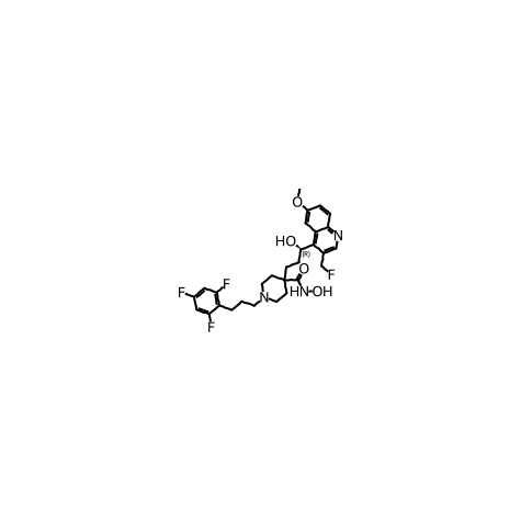 COc1ccc2ncc(CF)c([C@H](O)CCC3(C(=O)NO)CCN(CCCc4c(F)cc(F)cc4F)CC3)c2c1